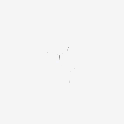 C=C(/C=C(/CCC)N(C)C)C(C)C